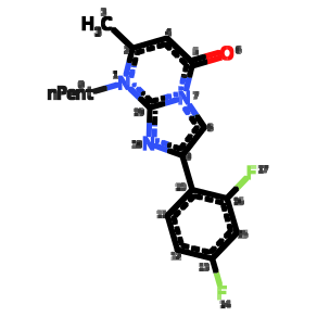 CCCCCn1c(C)cc(=O)n2cc(-c3ccc(F)cc3F)nc12